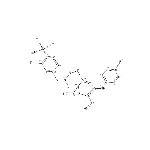 N=CC1=C(Nc2ccc(F)cc2)C=C2CCN(Sc3ccc(C(F)(F)F)c(F)c3)CC2(C=O)C1